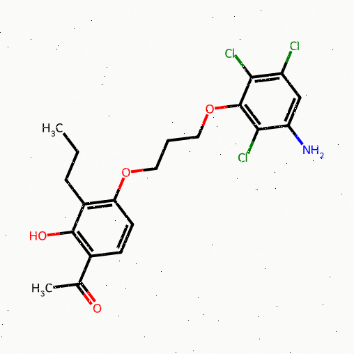 CCCc1c(OCCCOc2c(Cl)c(N)cc(Cl)c2Cl)ccc(C(C)=O)c1O